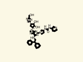 O=C(Nc1cccnc1)N[C@@H]1CCN(c2nc(NCC(c3ccccc3)c3ccccc3)c3ncn([C@@H]4C[C@H](n5nnc(CO)n5)[C@@H](O)[C@H]4O)c3n2)C1